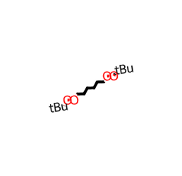 CC(C)(C)OOCCCCCCOOC(C)(C)C